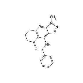 Cn1ncc2c(NCc3ccccc3)c3c(nc21)CCCC3=O